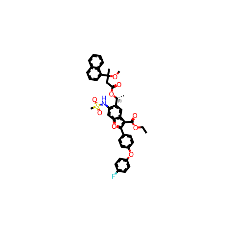 CCOC(=O)c1c(-c2ccc(Oc3ccc(F)cc3)cc2)oc2cc(NS(C)(=O)=O)c([C@@H](C)OC(=O)CC(C)(OC)c3cccc4ccccc34)cc12